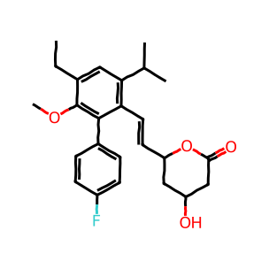 CCc1cc(C(C)C)c(C=CC2CC(O)CC(=O)O2)c(-c2ccc(F)cc2)c1OC